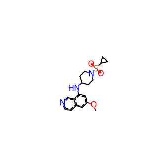 COc1cc(NC2CCN(S(=O)(=O)C3CC3)CC2)c2cnccc2c1